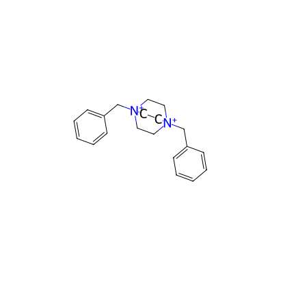 c1ccc(C[N+]23CC[N+](Cc4ccccc4)(CC2)CC3)cc1